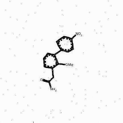 COc1c(CC(N)=O)cccc1-c1ccc([N+](=O)[O-])cc1